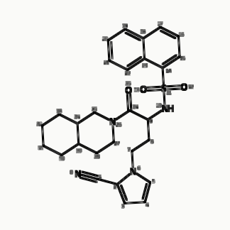 N#Cc1cccn1CCC(NS(=O)(=O)c1cccc2ccccc12)C(=O)N1CCC2CCCCC2C1